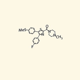 CSc1ccc(-c2sc(C(=O)N3CCN(C)CC3)nc2-c2ccc(F)cc2)cc1